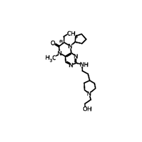 CC[C@@H]1C(=O)N(C)c2cnc(NCCC3CCN(CCO)CC3)nc2N1C1CCCC1